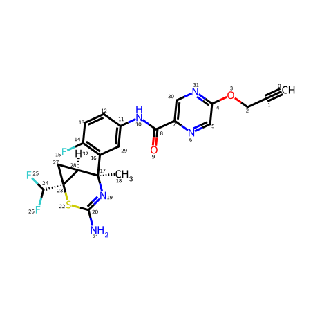 C#CCOc1cnc(C(=O)Nc2ccc(F)c([C@@]3(C)N=C(N)S[C@@]4(C(F)F)C[C@@H]34)c2)cn1